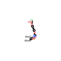 COc1ccc(CN(c2nccc(COc3ccc(C(C)(C)c4ccc(OCC(O)CCl)cc4)cc3)n2)S(C)(=O)=O)c(OC)c1